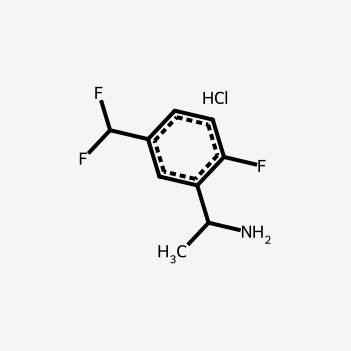 CC(N)c1cc(C(F)F)ccc1F.Cl